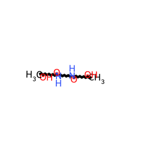 CCC(O)CCCCCCC(=O)NCCCCCCNC(=O)CCCCCCC(O)CC